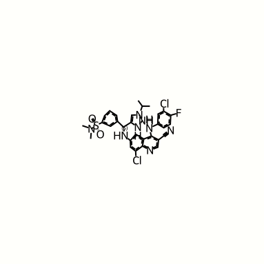 CC(C)N1C=C([C@@H](Nc2cc(Cl)c3ncc(C#N)c(Nc4ccc(F)c(Cl)c4)c3c2)c2cccc(S(=O)(=O)N(C)C)c2)NN1